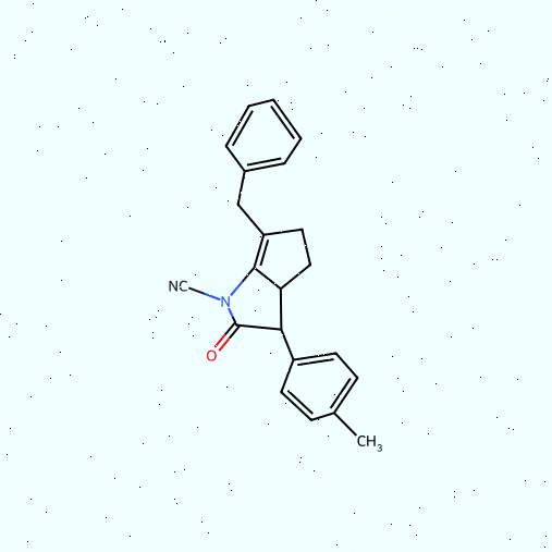 Cc1ccc(C2C(=O)N(C#N)C3=C(Cc4ccccc4)CCC32)cc1